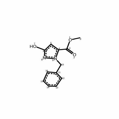 COC(=O)c1cc(O)nn1Cc1ccccc1